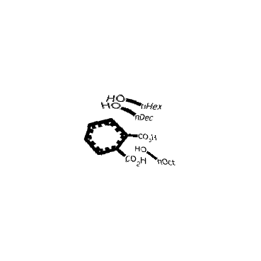 CCCCCCCCCCO.CCCCCCCCO.CCCCCCO.O=C(O)c1ccccc1C(=O)O